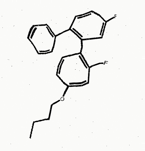 CCCCOc1ccc(-c2cc(F)ccc2-c2ccccc2)c(F)c1